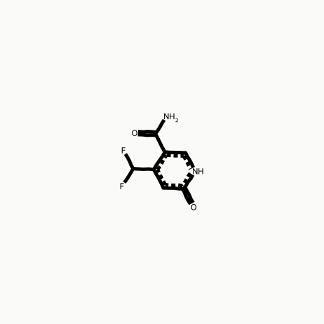 NC(=O)c1c[nH]c(=O)cc1C(F)F